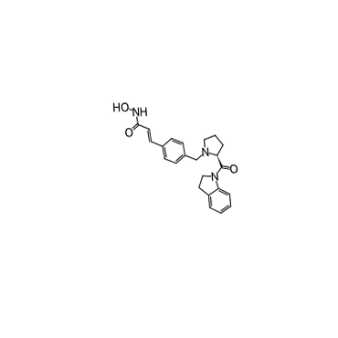 O=C(C=Cc1ccc(CN2CCC[C@H]2C(=O)N2CCc3ccccc32)cc1)NO